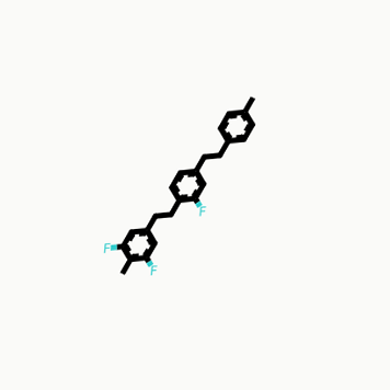 Cc1ccc(CCc2ccc(CCc3cc(F)c(C)c(F)c3)c(F)c2)cc1